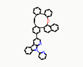 C1=C\c2ccc(-c3cnc4c(c3)c3ccccc3n4-c3ccccn3)cc2-c2ccc3ccccc3c2Oc2ccccc2-c2ccccc2/1